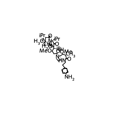 CC[C@H](C)[C@@H]([C@@H](CC(=O)N1CCC[C@H]1[C@H](OC)[C@@H](C)C(=O)NCCc1ccc(N)cc1)OC)N(C)C(=O)[C@@H](NC(=O)[C@H](C(C)C)N(C)C)C(C)C